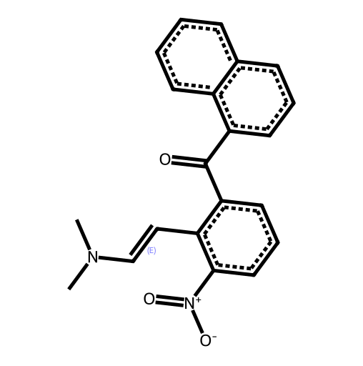 CN(C)/C=C/c1c(C(=O)c2cccc3ccccc23)cccc1[N+](=O)[O-]